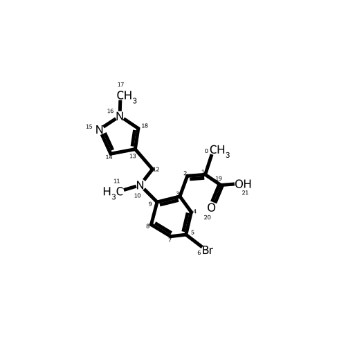 CC(=Cc1cc(Br)ccc1N(C)Cc1cnn(C)c1)C(=O)O